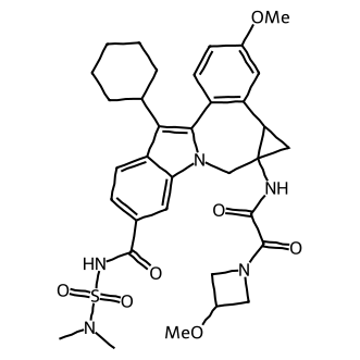 COc1ccc2c(c1)C1CC1(NC(=O)C(=O)N1CC(OC)C1)Cn1c-2c(C2CCCCC2)c2ccc(C(=O)NS(=O)(=O)N(C)C)cc21